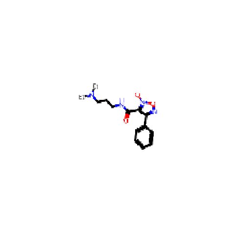 CCN(CC)CCCNC(=O)c1c(-c2ccccc2)no[n+]1[O-]